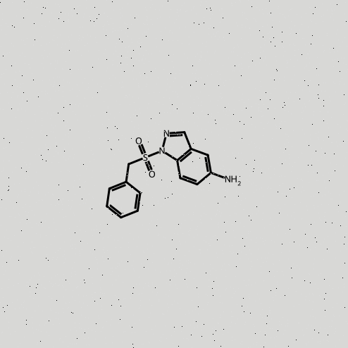 Nc1ccc2c(cnn2S(=O)(=O)Cc2ccccc2)c1